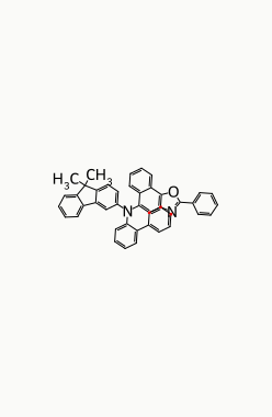 CC1(C)c2ccccc2-c2cc(N(c3ccccc3-c3ccccc3)c3cc4nc(-c5ccccc5)oc4c4ccccc34)ccc21